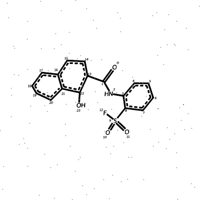 O=C(Nc1ccccc1S(=O)(=O)F)c1ccc2ccccc2c1O